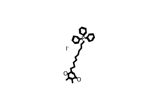 CC1=C(C)C(=O)C(CCCCCCCCCC[P+](c2ccccc2)(c2ccccc2)c2ccccc2)=CC1=O.[I-]